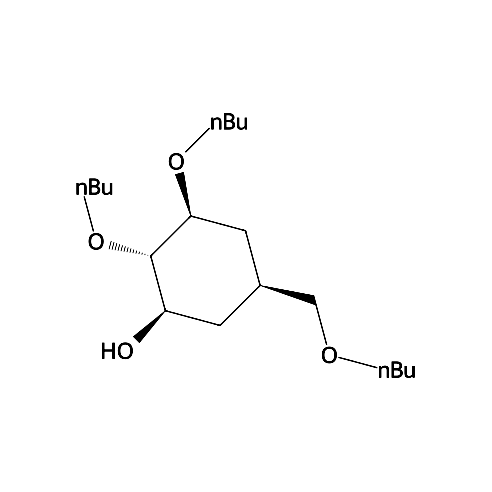 CCCCOC[C@H]1C[C@@H](O)[C@H](OCCCC)[C@@H](OCCCC)C1